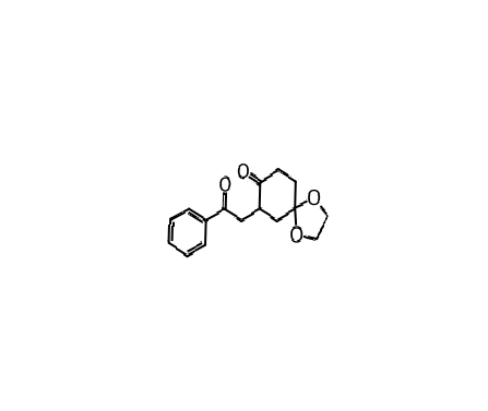 O=C(CC1CC2(CCC1=O)OCCO2)c1ccccc1